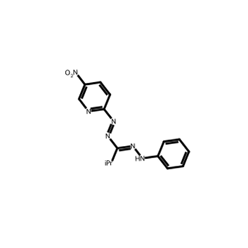 CC(C)C(N=Nc1ccc([N+](=O)[O-])cn1)=NNc1ccccc1